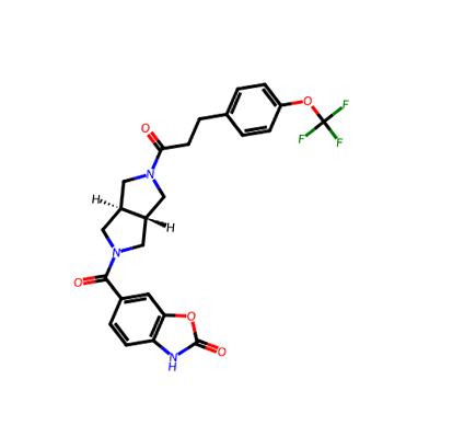 O=C(CCc1ccc(OC(F)(F)F)cc1)N1C[C@@H]2CN(C(=O)c3ccc4[nH]c(=O)oc4c3)C[C@H]2C1